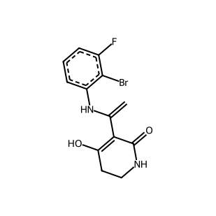 C=C(Nc1cccc(F)c1Br)C1=C(O)CCNC1=O